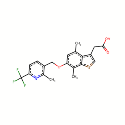 Cc1nc(C(F)(F)F)ccc1COc1cc(C)c2c(CC(=O)O)csc2c1C